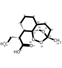 CC[C@@H](C(=O)O)[C@@H]1CCCC2CC[C@@]3(C)OC[C@@]21OO3